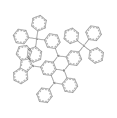 c1ccc(N2c3ccccc3B3c4ccc([Si](c5ccccc5)(c5ccccc5)c5ccccc5)cc4N(c4cccc([Si](c5ccccc5)(c5ccccc5)c5ccccc5)c4)c4cc(-n5c6ccccc6c6ccccc65)cc2c43)cc1